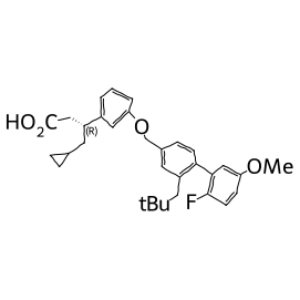 COc1ccc(F)c(-c2ccc(COc3cccc([C@@H](CC(=O)O)CC4CC4)c3)cc2CC(C)(C)C)c1